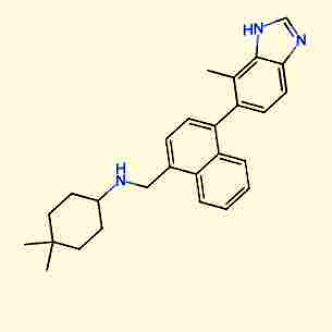 Cc1c(-c2ccc(CNC3CCC(C)(C)CC3)c3ccccc23)ccc2nc[nH]c12